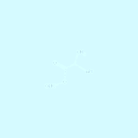 CCCC(C)C(=O)OC=O